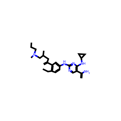 C=C(CC(C)CN(C)CCC)c1cc(Nc2ncc(C(=C)N)c(NC3CC3)n2)ccc1CC